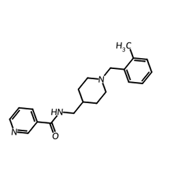 Cc1ccccc1CN1CCC(CNC(=O)c2cccnc2)CC1